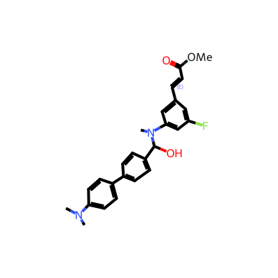 COC(=O)/C=C/c1cc(F)cc(N(C)C(O)c2ccc(-c3ccc(N(C)C)cc3)cc2)c1